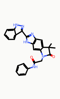 CC1(C)C(=O)N(CC(=O)Nc2ccccc2)c2cc3[nH]c(-c4n[nH]c5ccccc45)nc3cc21